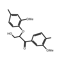 COc1cc(C(=O)C(CO)Oc2ccc(C)cc2OC)ccc1C